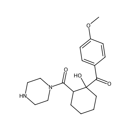 COc1ccc(C(=O)C2(O)CCCCC2C(=O)N2CCNCC2)cc1